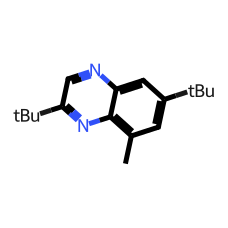 Cc1cc(C(C)(C)C)cc2ncc(C(C)(C)C)nc12